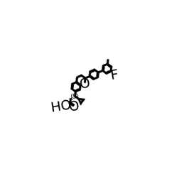 Cc1cc(F)cc(-c2ccc(C3CCc4ccc([C@@H](CC(=O)O)C5CC5)cc4O3)cc2)c1